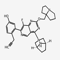 C#CCc1ccc(O)cc1-c1ncc2c(N3C[C@H]4CC[C@@H](C3)N4)nc(OCC34CCCN3CCC4)nc2c1F